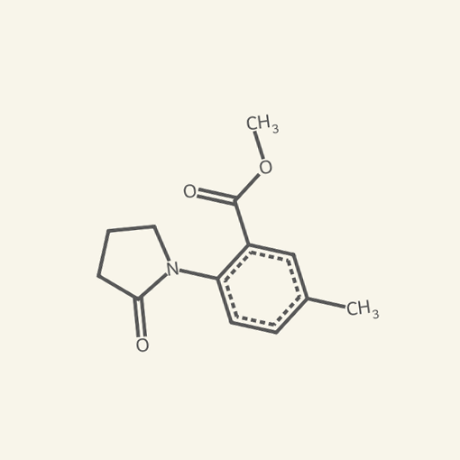 COC(=O)c1cc(C)ccc1N1CCCC1=O